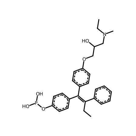 CCC(=C(c1ccc(OCC(O)CN(C)CC)cc1)c1ccc(OP(O)O)cc1)c1ccccc1